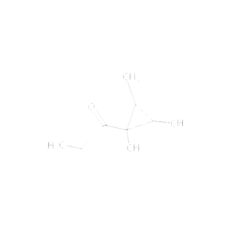 CCC(=O)C1(C)C(C)C1C